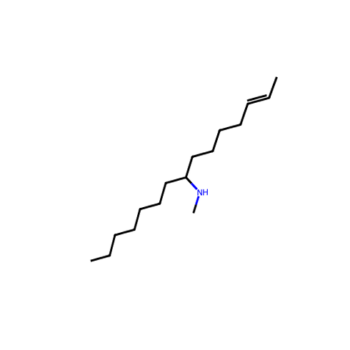 C/C=C/CCCCC(CCCCCCC)NC